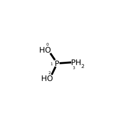 OP(O)P